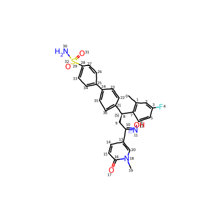 Cc1cc(F)ccc1[C@@H](C/C(=N\O)c1ccc(=O)n(C)c1)c1ccc(-c2ccc(S(N)(=O)=O)cc2)cc1